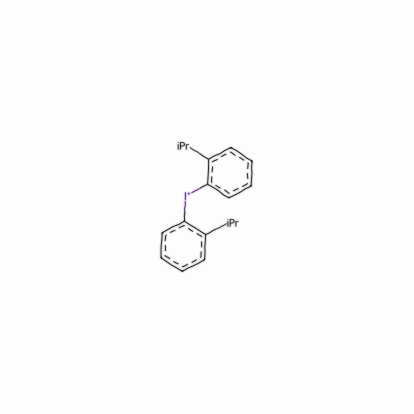 CC(C)c1ccccc1[I+]c1ccccc1C(C)C